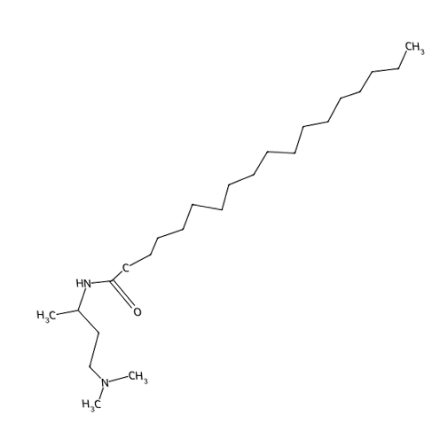 CCCCCCCCCCCCCCCCCC(=O)NC(C)CCN(C)C